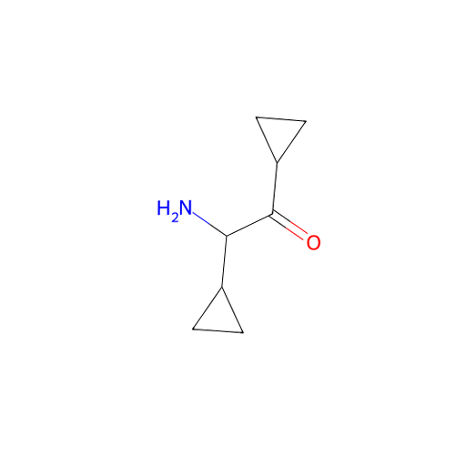 NC(C(=O)C1CC1)C1CC1